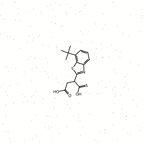 CC(C)(C)c1cccc2nc(C(CC(=O)O)C(O)=S)sc12